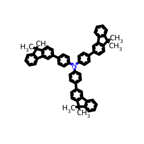 CC1(C)c2ccccc2-c2cc(-c3ccc(N(c4ccc(-c5ccc6c(c5)-c5ccccc5C6(C)C)cc4)c4ccc(-c5ccc6c(c5)-c5ccccc5C6(C)C)cc4)cc3)ccc21